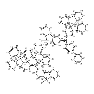 CC1(C)c2ccccc2-c2cc(N(c3ccc4c(c3)C3(c5ccccc5-c5ccccc53)c3ccccc3-4)c3cc4ccc(CC5(C)c6ccccc6-c6cc(N(c7ccc(-c8ccccc8)cc7)c7ccc8c(c7)-c7ccccc7C87c8ccccc8-c8ccccc87)ccc65)cc4c4ccccc34)ccc21